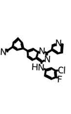 N#Cc1cccc(-c2ccc3c(Nc4ccc(F)c(Cl)c4)nc(-c4cccnc4)nc3c2)c1